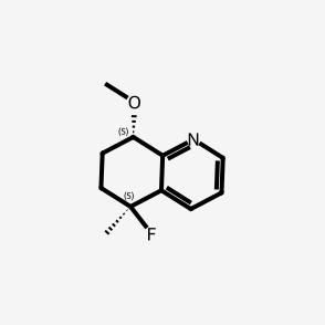 CO[C@H]1CC[C@](C)(F)c2cccnc21